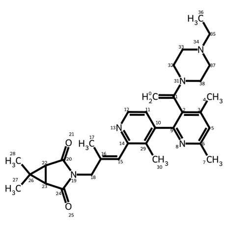 C=C(c1c(C)cc(C)nc1-c1ccnc(/C=C(\C)CN2C(=O)C3C(C2=O)C3(C)C)c1C)N1CCN(CC)CC1